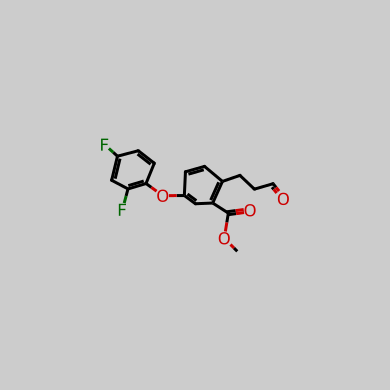 COC(=O)c1cc(Oc2ccc(F)cc2F)ccc1CCC=O